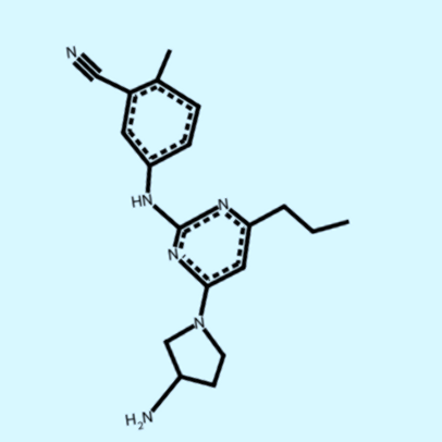 CCCc1cc(N2CCC(N)C2)nc(Nc2ccc(C)c(C#N)c2)n1